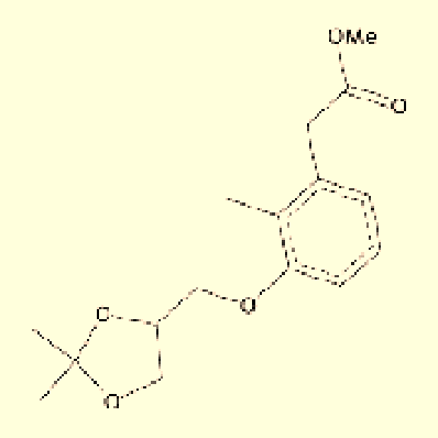 COC(=O)Cc1cccc(OCC2COC(C)(C)O2)c1C